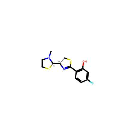 CN1CCS[C@@H]1[C@@H]1CSC(c2ccc(F)cc2O)=N1